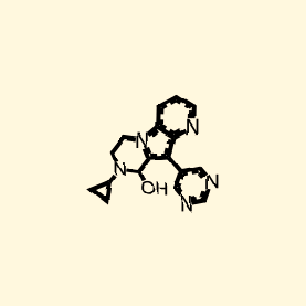 OC1c2c(-c3cncnc3)c3ncccc3n2CCN1C1CC1